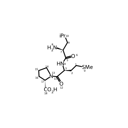 CSCC[C@H](NC(=O)[C@@H](N)CC(C)C)C(=O)N1CCC[C@H]1C(=O)O